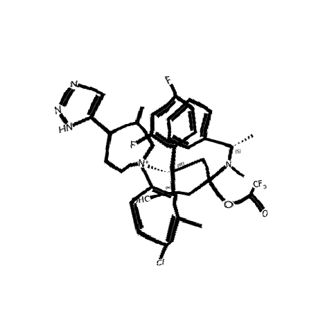 Cc1cc([N+]2([C@]3(c4ccc(F)cc4F)CC(OC(=O)C(F)(F)F)(N(C)[C@@H](C)c4ccccc4)C[C@H]3C=O)CCC(c3cnn[nH]3)C(C)C2)ccc1Cl